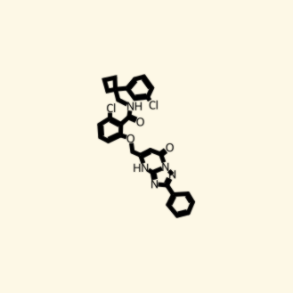 O=C(NCC1(c2cccc(Cl)c2)CCC1)c1c(Cl)cccc1OCc1cc(=O)n2nc(-c3ccccc3)nc2[nH]1